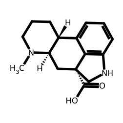 CN1CCC[C@@H]2c3cccc4c3[C@@](C(=O)O)(CN4)C[C@H]21